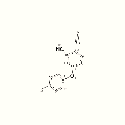 C#Cc1ccc(Oc2ccc(C)cc2)cc1C#N